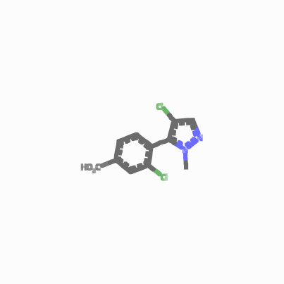 Cn1ncc(Cl)c1-c1ccc(C(=O)O)cc1Cl